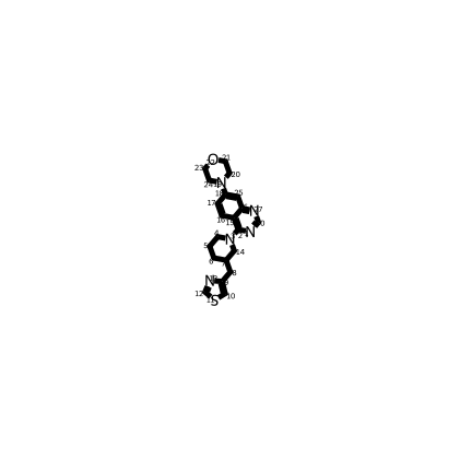 c1nc(N2CCCC(Cc3cscn3)C2)c2ccc(N3CCOCC3)cc2n1